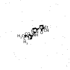 CC[C@]1(C#N)CCN(c2ccnc(Nc3cnn(C(C)(C)C(=O)O)c3)n2)C1=O